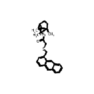 CC1(OC(=O)CSCc2cccc3cc4ccccc4cc23)CC2CCC1(C)C2(C)C